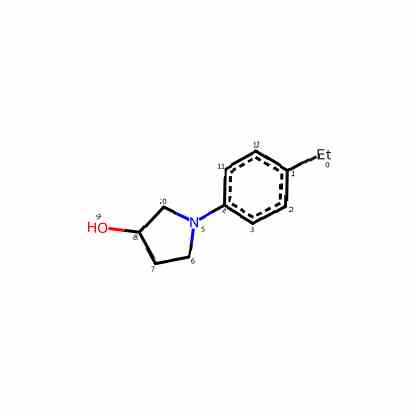 CCc1ccc(N2CCC(O)C2)cc1